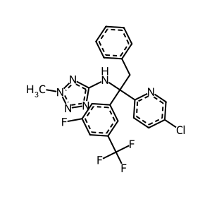 Cn1nnc(NC(Cc2ccccc2)(c2cc(F)cc(C(F)(F)F)c2)c2ccc(Cl)cn2)n1